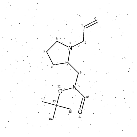 C=CCN1CCCC1CN(C=O)OC(C)(C)C